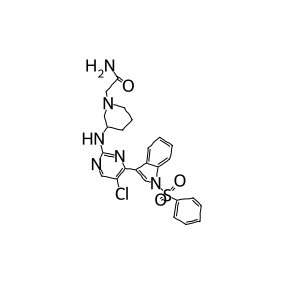 NC(=O)CN1CCCC(Nc2ncc(Cl)c(-c3cn(S(=O)(=O)c4ccccc4)c4ccccc34)n2)C1